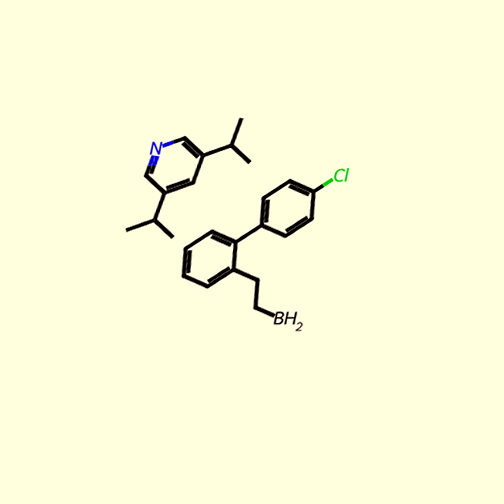 BCCc1ccccc1-c1ccc(Cl)cc1.CC(C)c1cncc(C(C)C)c1